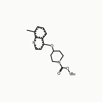 Cc1cccc2c(OC3CCN(C(=O)OC(C)(C)C)CC3)ccnc12